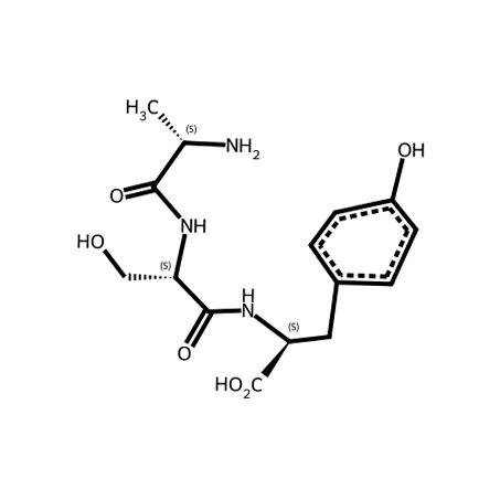 C[C@H](N)C(=O)N[C@@H](CO)C(=O)N[C@@H](Cc1ccc(O)cc1)C(=O)O